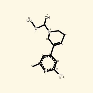 Cc1cc(C2=CCCN(C(O)OC(C)(C)C)C2)cc(C(F)(F)F)n1